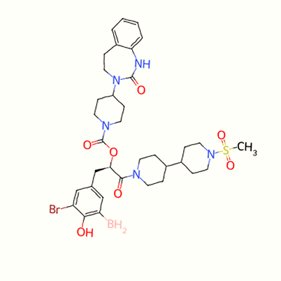 Bc1cc(C[C@@H](OC(=O)N2CCC(N3CCc4ccccc4NC3=O)CC2)C(=O)N2CCC(C3CCN(S(C)(=O)=O)CC3)CC2)cc(Br)c1O